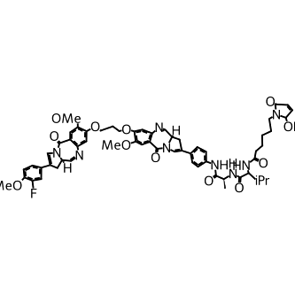 COc1ccc(C2=CN3C(=O)c4cc(OC)c(OCCCOc5cc6c(cc5OC)C(=O)N5C=C(c7ccc(NC(=O)[C@H](C)NC(=O)C(NC(=O)CCCCCN8C(=O)C=CC8O)C(C)C)cc7)C[C@H]5C=N6)cc4N=C[C@@H]3C2)cc1F